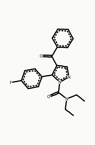 CCN(CC)C(=O)n1ncc(C(=O)c2ccccc2)c1-c1ccc(F)cc1